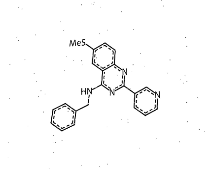 CSc1ccc2nc(-c3cccnc3)nc(NCc3ccccc3)c2c1